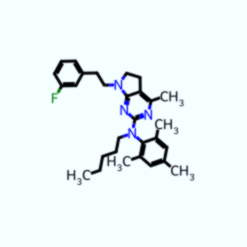 CCCCCN(c1nc(C)c2c(n1)N(CCc1cccc(F)c1)CC2)c1c(C)cc(C)cc1C